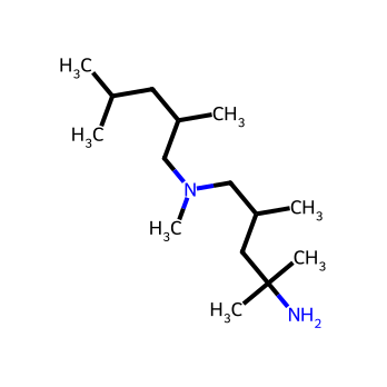 CC(C)CC(C)CN(C)CC(C)CC(C)(C)N